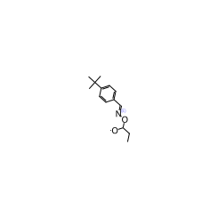 CCC([O])O/N=C/c1ccc(C(C)(C)C)cc1